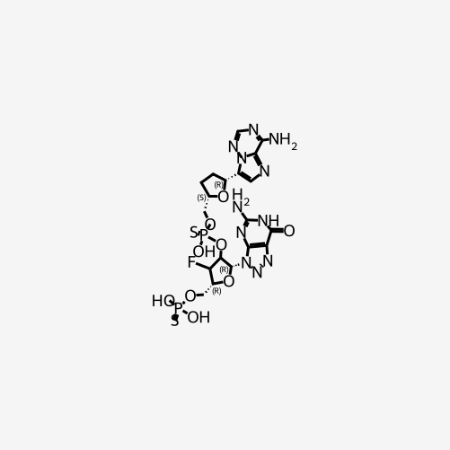 Nc1nc2c(nnn2[C@@H]2O[C@H](COP(O)(O)=S)C(F)C2OP(O)(=S)OC[C@@H]2CC[C@H](c3cnc4c(N)ncnn34)O2)c(=O)[nH]1